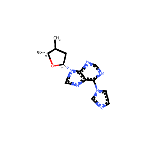 CC[C@H]1O[C@@H](n2cnc3c(-n4ccnc4)ncnc32)CC1C